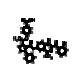 COc1cc(CC(=O)N2C(c3ccccc3)CCC2C(C)Oc2ccc(C(=O)O)cc2)ccc1NC(=O)Nc1ccccc1Br